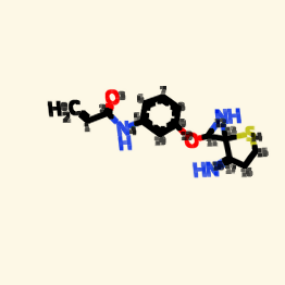 C=CC(=O)Nc1cccc(OC2NC23SCCC3=N)c1